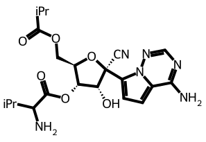 CC(C)C(=O)OC[C@H]1O[C@@](C#N)(c2ccc3c(N)ncnn23)[C@H](O)[C@@H]1OC(=O)C(N)C(C)C